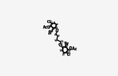 CC(=O)Oc1c(Cl)ccc(OCCCCOc2ccc(Cl)c(OC(C)=O)c2Br)c1Br